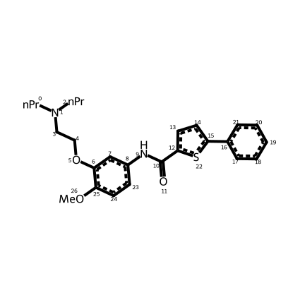 CCCN(CCC)CCOc1cc(NC(=O)c2ccc(-c3ccccc3)s2)ccc1OC